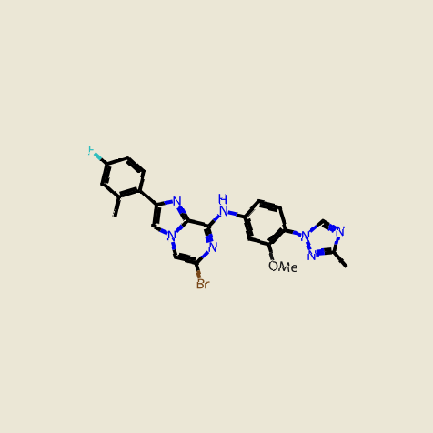 COc1cc(Nc2nc(Br)cn3cc(-c4ccc(F)cc4C)nc23)ccc1-n1cnc(C)n1